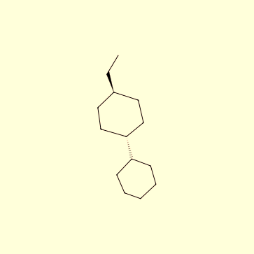 CC[C@H]1CC[C@H](C2CCCCC2)CC1